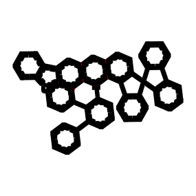 c1ccc(-c2ccccc2-c2c(-c3ccccc3)cccc2N(c2ccc3c(c2)oc2ccccc23)c2cccc3c2-c2ccccc2C32c3ccccc3-c3ccccc32)cc1